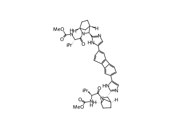 COC(=O)N[C@H](C(=O)N1[C@@H]2CC[C@@H](C2)[C@H]1c1ncc(-c2ccc3c(c2)-c2ccc(-c4cnc([C@@H]5[C@H]6CC[C@H](C6)N5C(=O)[C@@H](NC(=O)OC)C(C)C)[nH]4)cc2-3)[nH]1)C(C)C